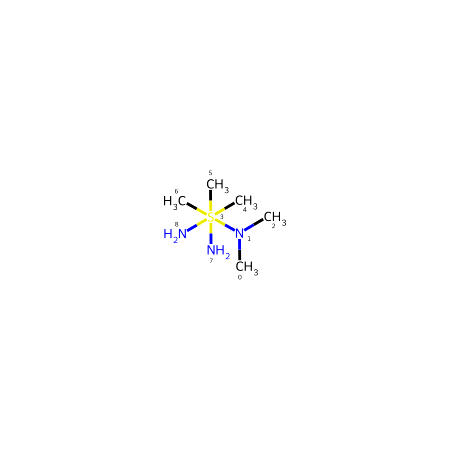 CN(C)S(C)(C)(C)(N)N